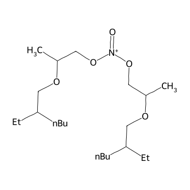 CCCCC(CC)COC(C)CO[N+](=O)OCC(C)OCC(CC)CCCC